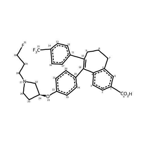 O=C(O)c1ccc2c(c1)CCCC(c1ccc(C(F)(F)F)cc1)=C2c1ccc(O[C@H]2CCN(CCCF)C2)cc1